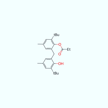 CCC(=O)Oc1c(Cc2cc(C)cc(C(C)(C)C)c2O)cc(C)cc1C(C)(C)C